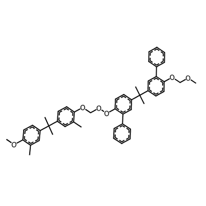 COCOc1ccc(C(C)(C)c2ccc(OOCOc3ccc(C(C)(C)c4ccc(OC)c(C)c4)cc3C)c(-c3ccccc3)c2)cc1-c1ccccc1